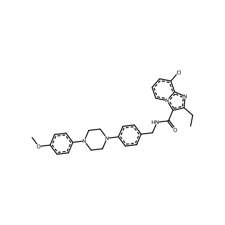 CCc1nc2c(Cl)cccn2c1C(=O)NCc1ccc(N2CCN(c3ccc(OC)cc3)CC2)cc1